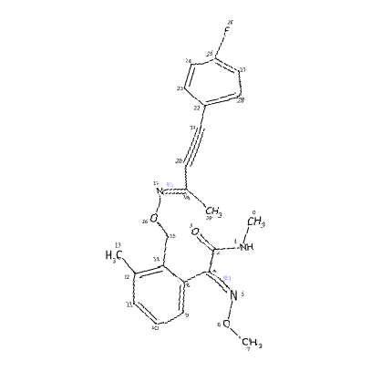 CNC(=O)/C(=N/OC)c1cccc(C)c1CO/N=C(\C)C#Cc1ccc(F)cc1